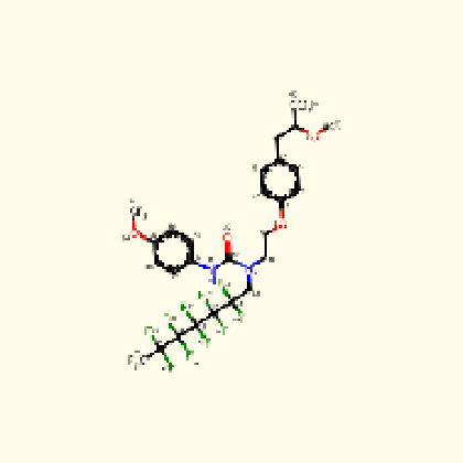 CCOC(Cc1ccc(OCCN(CC(F)(F)C(F)(F)C(F)(F)C(F)(F)C(F)(F)C(F)(F)F)C(=O)Nc2ccc(OC(F)(F)F)cc2)cc1)C(=O)O